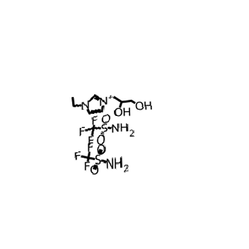 CCn1cc[n+](CC(O)CO)c1.NS(=O)(=O)C(F)(F)F.NS(=O)(=O)C(F)(F)F